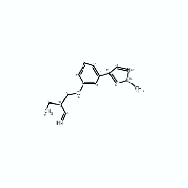 CC[C@H](C=N)COc1c[c]cc(-c2cnn(C)c2)c1